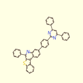 c1ccc(-c2cc(-c3ccccc3)nc(-c3ccc(-c4ccc5c(c4)nc(-c4ccccc4)c4sc6ccccc6c45)cc3)n2)cc1